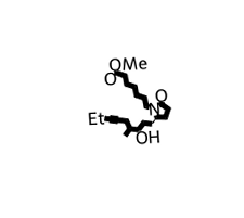 CCC#CCC(C)C(O)CC[C@H]1CCC(=O)N1CCCCCCC(=O)OC